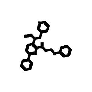 O=CN(Cc1cccnc1)c1ccc(-c2ccccc2)nc1NCCOc1ccccc1